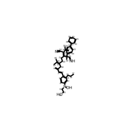 C=C(/C=C/c1ccc(N(O)CCO)cc1CCC)CC(CC/C(=C(\C#N)C(=C)C)C(C)(C=N)c1ccc(-c2ccccc2)cc1)=C(C)C